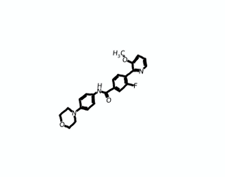 COc1cccnc1-c1ccc(C(=O)Nc2ccc(N3CCOCC3)cc2)cc1F